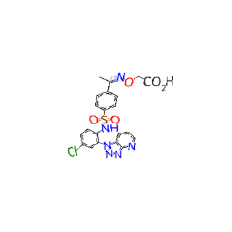 C/C(=N/OCC(=O)O)c1ccc(S(=O)(=O)Nc2ccc(Cl)cc2-n2nnc3ncccc32)cc1